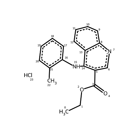 CCOC(=O)c1cnc2ccccc2c1Nc1ccccc1C.Cl